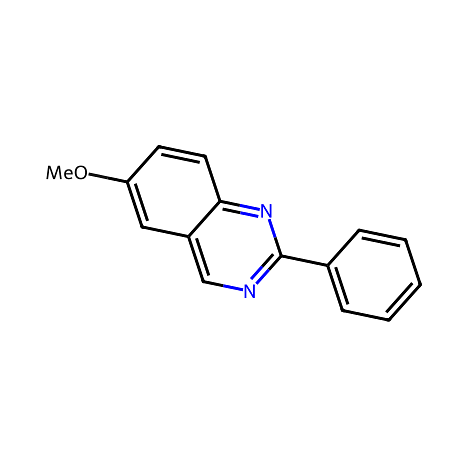 COc1ccc2nc(-c3ccccc3)ncc2c1